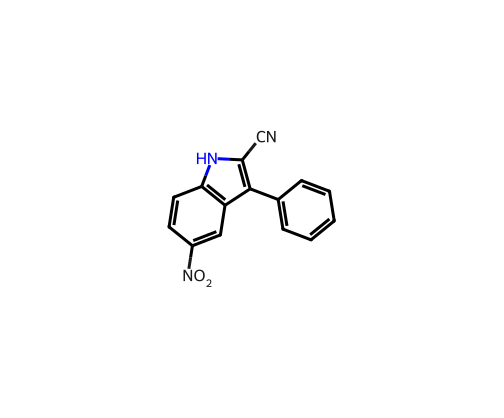 N#Cc1[nH]c2ccc([N+](=O)[O-])cc2c1-c1ccccc1